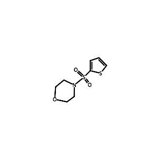 O=S(=O)(c1cccs1)N1CCOCC1